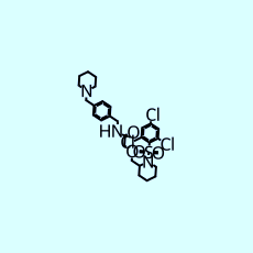 O=C(COCC1CCCCN1S(=O)(=O)c1c(Cl)cc(Cl)cc1Cl)NCc1ccc(CN2CCCCC2)cc1